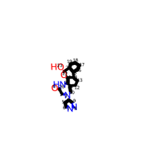 O=C1CN(c2ccnnc2)C=C2CC=C(c3ccccc3C(=O)O)C=C2N1